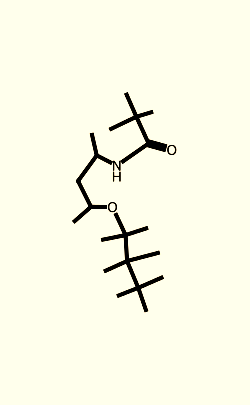 CC(CC(C)OC(C)(C)C(C)(C)C(C)(C)C)NC(=O)C(C)(C)C